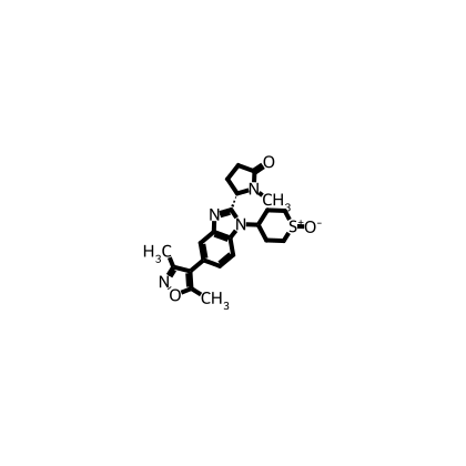 Cc1noc(C)c1-c1ccc2c(c1)nc([C@@H]1CCC(=O)N1C)n2C1CC[S+]([O-])CC1